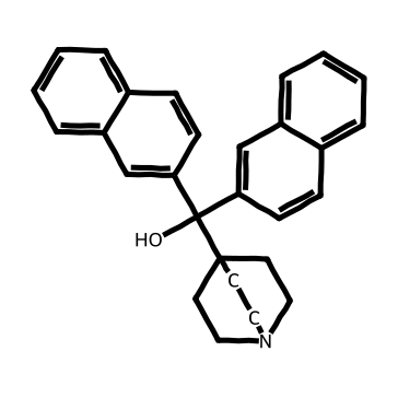 OC(c1ccc2ccccc2c1)(c1ccc2ccccc2c1)C12CCN(CC1)CC2